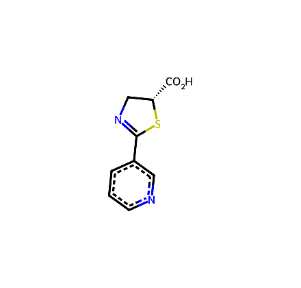 O=C(O)[C@H]1CN=C(c2cccnc2)S1